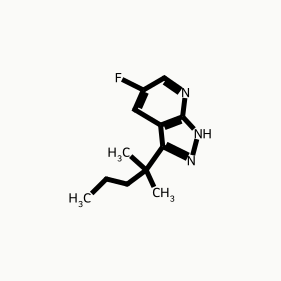 CCCC(C)(C)c1n[nH]c2ncc(F)cc12